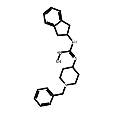 N#CN/C(=N\C1CCN(Cc2ccccc2)CC1)NC1Cc2ccccc2C1